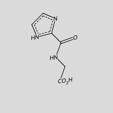 O=C(O)CNC(=O)c1ncc[nH]1